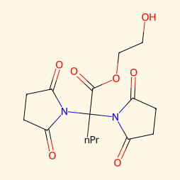 CCCC(C(=O)OCCO)(N1C(=O)CCC1=O)N1C(=O)CCC1=O